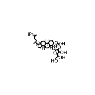 CC(C)[C@H](C)CC[C@@H](C)[C@H]1CCC2[C@@H]3CC[C@H]4C[C@@H](OP(=O)(O)OC5=C(O)[C@@H]([C@@H](O)CO)OC5=O)CC[C@]4(C)[C@H]3CC[C@@]21C